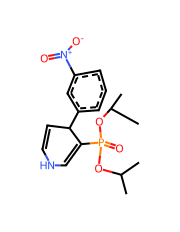 CC(C)OP(=O)(OC(C)C)C1=CNC=CC1c1cccc([N+](=O)[O-])c1